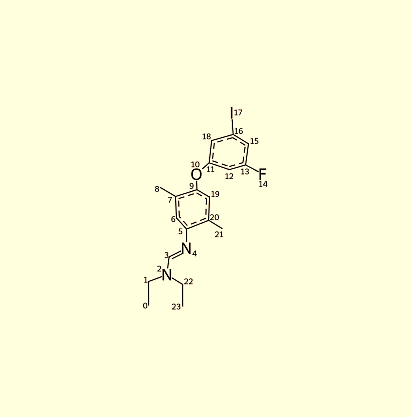 CCN(C=Nc1cc(C)c(Oc2cc(F)cc(I)c2)cc1C)CC